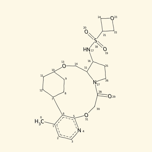 Cc1ccnc2c1C1CCC(CC1)OCC1C(NS(=O)(=O)C3COC3)CCN1C(=O)CO2